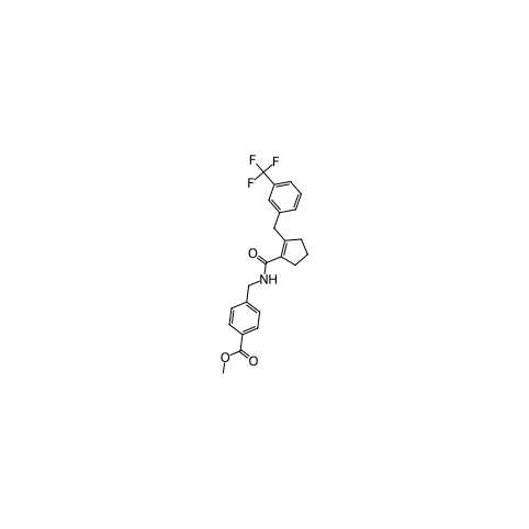 COC(=O)c1ccc(CNC(=O)C2=C(Cc3cccc(C(F)(F)F)c3)CCC2)cc1